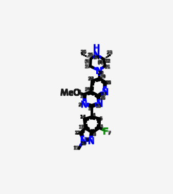 COc1nc(-c2cc(F)c3nn(C)cc3c2)nc2ncc(N3C[C@@H](C)N[C@@H](C)C3)cc12